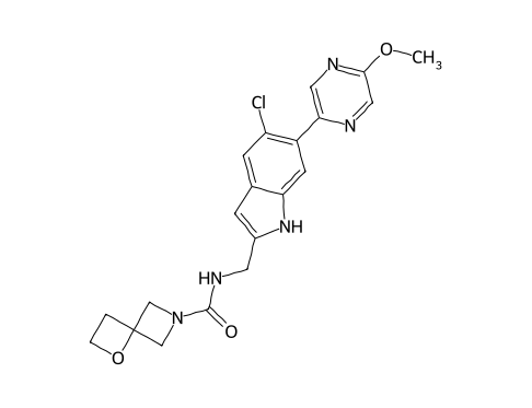 COc1cnc(-c2cc3[nH]c(CNC(=O)N4CC5(CCO5)C4)cc3cc2Cl)cn1